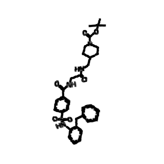 CC(C)(C)OC(=O)N1CCC(CNC(=O)CNC(=O)c2ccc(S(=O)(=O)Nc3ccccc3Cc3ccccc3)cc2)CC1